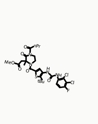 CCCC(=O)N1CCN(C(=O)c2cc(NC(=O)Nc3ccc(F)c(Cl)c3Cl)c(C(C)(C)C)s2)C(C)(CC(=O)OC)C1=O